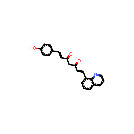 O=C(/C=C/c1ccc(O)cc1)CC(=O)/C=C/c1cccc2cccnc12